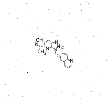 C/C(=N/O)c1ccc2nnn(Cc3cc4cccnc4cc3F)c2n1